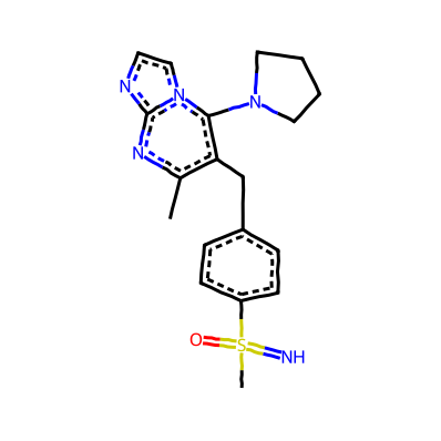 Cc1nc2nccn2c(N2CCCC2)c1Cc1ccc(S(C)(=N)=O)cc1